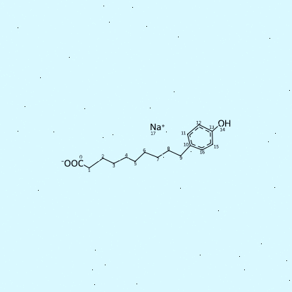 O=C([O-])CCCCCCCCCc1ccc(O)cc1.[Na+]